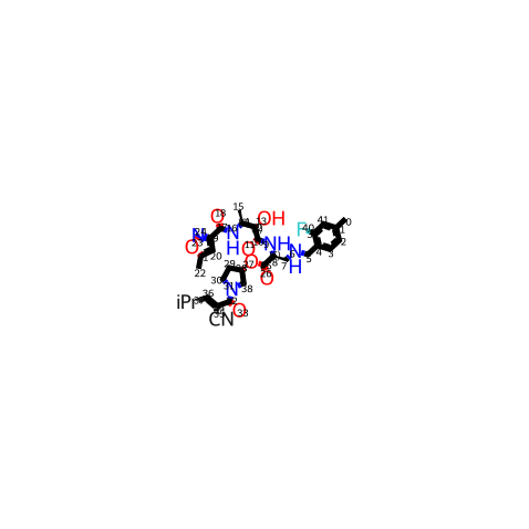 Cc1ccc(CNC[C@H](NC(=O)[C@H](O)[C@H](C)NC(=O)c2cc(C)on2)C(=O)OC2CCN(C(=O)C(C#N)=CC(C)C)C2)c(F)c1